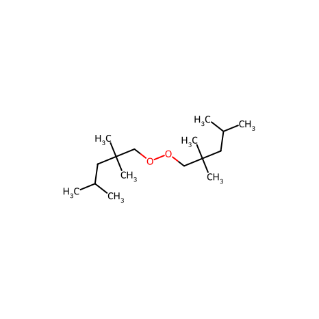 CC(C)CC(C)(C)COOCC(C)(C)CC(C)C